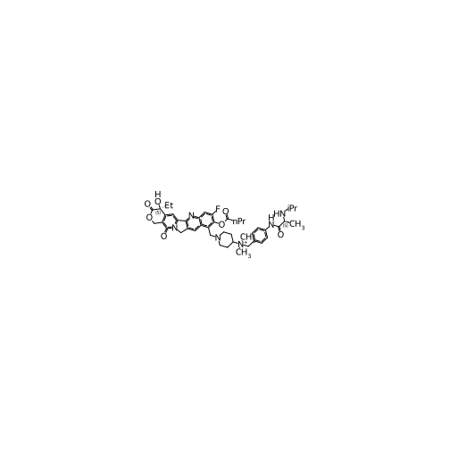 CCCC(=O)Oc1c(F)cc2nc3c(cc2c1CN1CCC([N+](C)(C)Cc2ccc(NC(=O)[C@H](C)NC(C)C)cc2)CC1)Cn1c-3cc2c(c1=O)COC(=O)[C@]2(O)CC